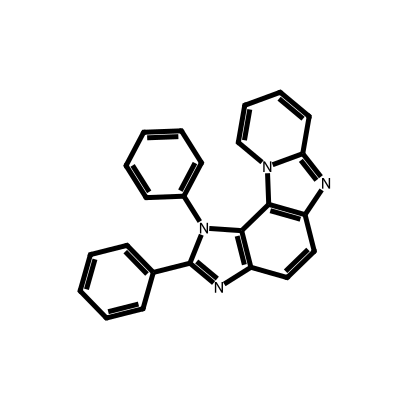 c1ccc(-c2nc3ccc4nc5ccccn5c4c3n2-c2ccccc2)cc1